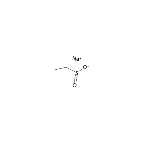 CCS(=O)[O-].[Na+]